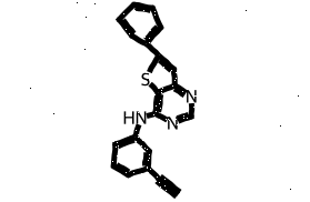 C#Cc1cccc(Nc2ncnc3cc(-c4ccccc4)sc23)c1